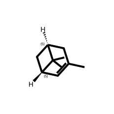 CC1=C[C@@H]2C[C@@H](C1)C2(C)C